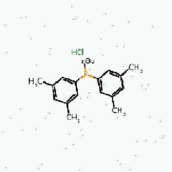 CCCCP(c1cc(C)cc(C)c1)c1cc(C)cc(C)c1.Cl